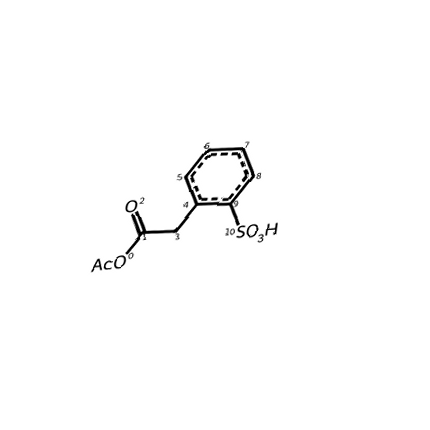 CC(=O)OC(=O)Cc1ccccc1S(=O)(=O)O